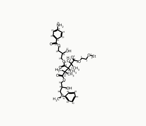 CCOCCOC(=O)C(C)(C)C(C)(C(=O)OCC(O)COC(=O)c1ccc(N)cc1)C(C)(C)C(=O)OCC(O)CN(C)c1ccccc1